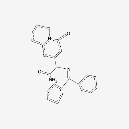 NC(=O)C(N=C(c1ccccc1)c1ccccc1)c1cc(=O)n2ccccc2n1